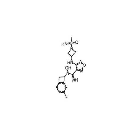 CS(=N)(=O)N1CC(Nc2nonc2C(=N)N(O)C2Cc3ccc(F)cc32)C1